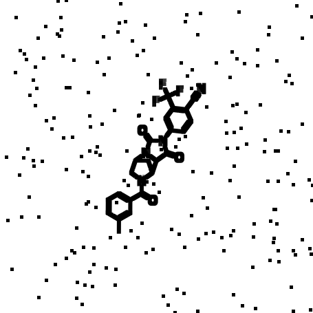 Cc1cccc(C(=O)N2CC3CC2C2C(=O)N(c4ccc(C#N)c(C(F)(F)F)c4)C(=O)N32)c1